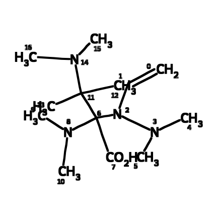 C=CN(N(C)C)C(C(=O)O)(N(C)C)C(C)(C)N(C)C